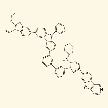 C=CC1=C(/C=C\C)Cc2cc(-c3ccc4c(c3)c3cc(-c5cccc(-c6cccc(-c7cc(-c8ccc9c(c8)oc8ccncc89)ccc7N(C)C7=CCCC=C7)c6)c5)ccc3n4-c3ccccc3)ccc21